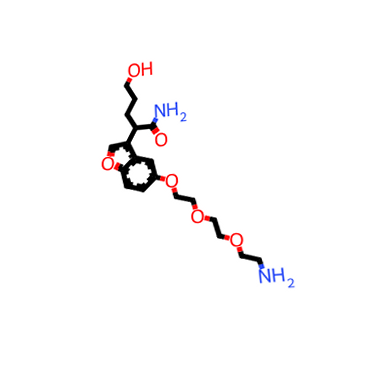 NCCOCCOCCOc1ccc2occ(C(CCCO)C(N)=O)c2c1